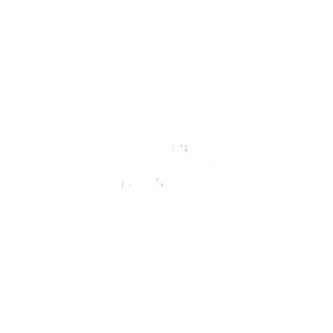 CCN1CCC2(CC1)COCCN2